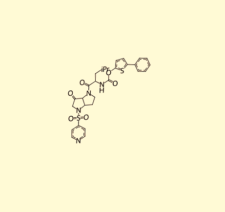 CC(C)CC(NC(=O)Oc1ccc(-c2ccccc2)s1)C(=O)N1CCC2C1C(=O)CN2S(=O)(=O)c1ccncc1